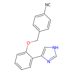 [C-]#[N+]c1ccc(COc2ccccc2-c2c[nH]cn2)cc1